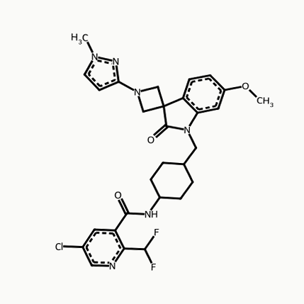 COc1ccc2c(c1)N(CC1CCC(NC(=O)c3cc(Cl)cnc3C(F)F)CC1)C(=O)C21CN(c2ccn(C)n2)C1